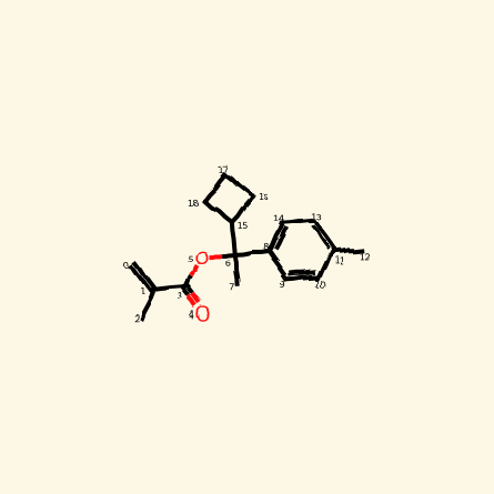 C=C(C)C(=O)OC(C)(c1ccc(C)cc1)C1CCC1